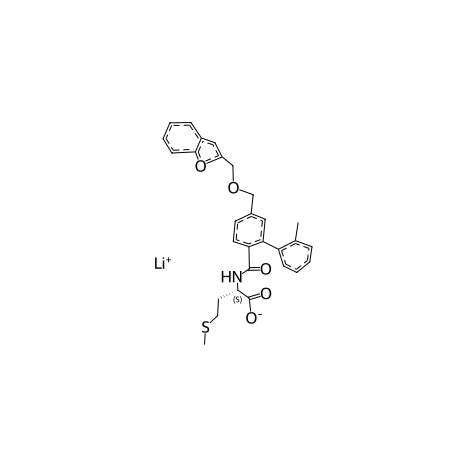 CSCC[C@H](NC(=O)c1ccc(COCc2cc3ccccc3o2)cc1-c1ccccc1C)C(=O)[O-].[Li+]